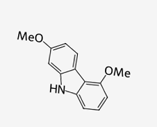 COc1ccc2c(c1)[nH]c1cccc(OC)c12